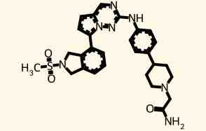 CS(=O)(=O)N1Cc2cccc(-c3ccc4cnc(Nc5ccc(C6CCN(CC(N)=O)CC6)cc5)nn34)c2C1